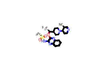 CCCS(=O)(=O)Nc1nc2ccccc2nc1OC(C1CCN(c2ccncc2C#N)CC1)C(F)(F)F